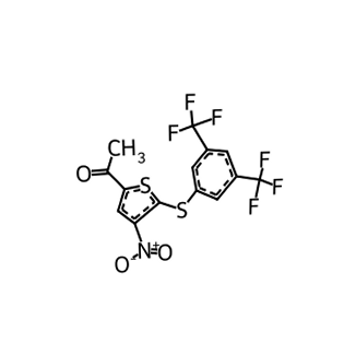 CC(=O)c1cc([N+](=O)[O-])c(Sc2cc(C(F)(F)F)cc(C(F)(F)F)c2)s1